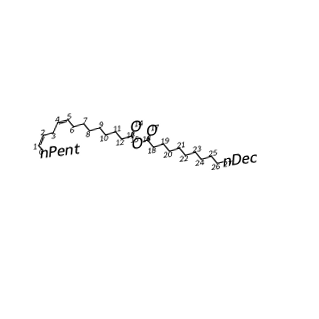 CCCCC/C=C\C/C=C\CCCCCCCC(=O)OC(=O)CCCCCCCCCCCCCCCCCCC